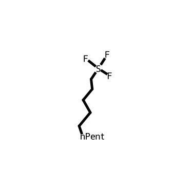 CCCCCCCCCCS(F)(F)F